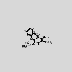 CCO.Cc1c(N)c(N)c2nc3ccccc3nc2c1C.Cl